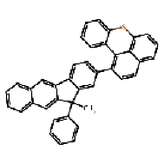 CC1(c2ccccc2)c2cc(-c3ccc4cccc5c4c3-c3ccccc3S5)ccc2-c2cc3ccccc3cc21